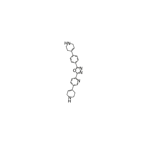 C1=C(c2ccc(-c3nnc(-c4ccc(C5=CCNCC5)cn4)o3)cc2)CCNC1